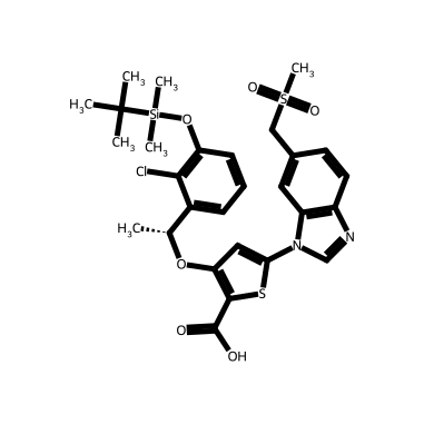 C[C@@H](Oc1cc(-n2cnc3ccc(CS(C)(=O)=O)cc32)sc1C(=O)O)c1cccc(O[Si](C)(C)C(C)(C)C)c1Cl